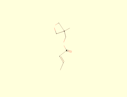 CC1(COC(=O)/C=C/C(=O)O)COC1